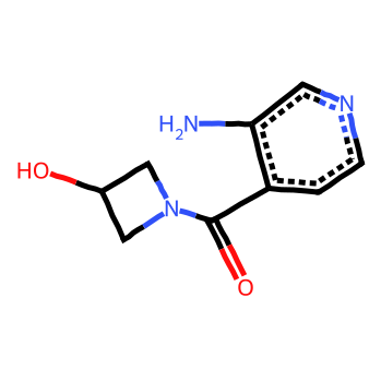 Nc1cnccc1C(=O)N1CC(O)C1